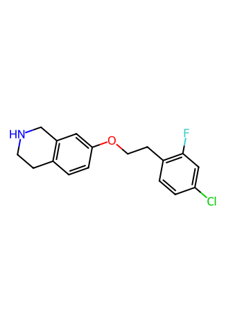 Fc1cc(Cl)ccc1CCOc1ccc2c(c1)CNCC2